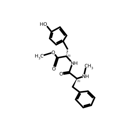 CN[C@@H](Cc1ccccc1)C(=O)N[C@@H](Cc1ccc(O)cc1)C(=O)OC